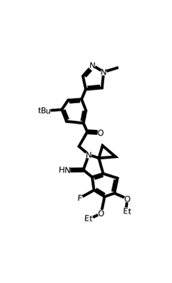 CCOc1cc2c(c(F)c1OCC)C(=N)N(CC(=O)c1cc(-c3cnn(C)c3)cc(C(C)(C)C)c1)C21CC1